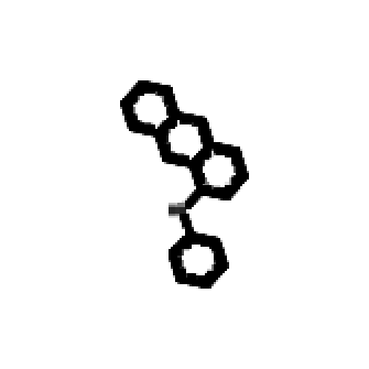 c1ccc(Pc2cccc3cc4ccccc4cc23)cc1